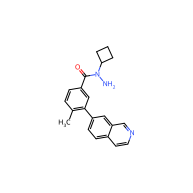 Cc1ccc(C(=O)N(N)C2CCC2)cc1-c1ccc2ccncc2c1